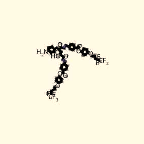 Nc1ccc(CC(O)(CC(O)C(=O)/C=C/c2ccc(C(=O)Oc3ccc(OCCCC(F)(F)C(F)(F)F)cc3)cc2)C(=O)/C=C/c2ccc(C(=O)Oc3ccc(OCCCC(F)(F)C(F)(F)F)cc3)cc2)cc1